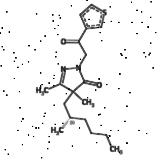 CCCC[C@H](C)CC1(C)C(=O)N(CC(=O)c2ccsc2)N=C1C